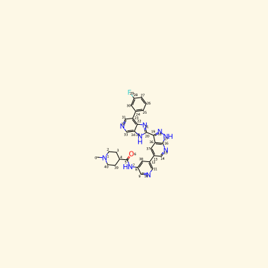 CN1CCC(C(=O)Nc2cncc(-c3cnc4[nH]nc(-c5nc6c(-c7cccc(F)c7)cncc6[nH]5)c4c3)c2)CC1